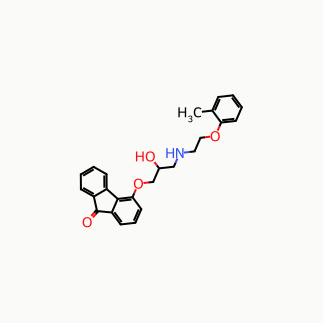 Cc1ccccc1OCCNCC(O)COc1cccc2c1-c1ccccc1C2=O